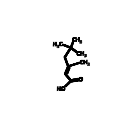 C/C(=C\C(=O)O)CC(C)(C)C